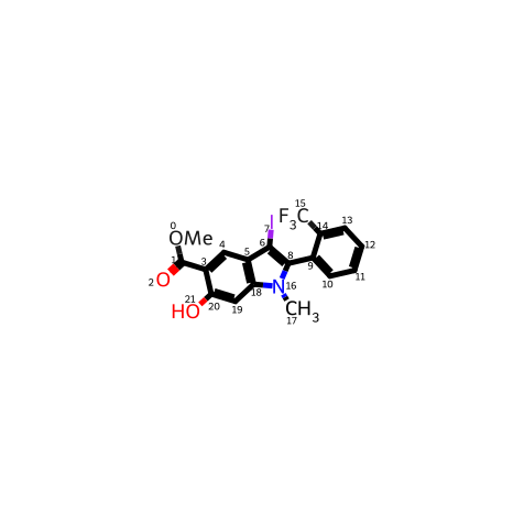 COC(=O)c1cc2c(I)c(-c3ccccc3C(F)(F)F)n(C)c2cc1O